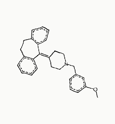 COc1cccc(CN2CCC(=C3c4ccccc4CCc4ccccc43)CC2)c1